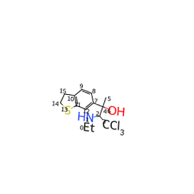 CCNC(C(Cl)(Cl)Cl)C(C)(O)c1ccc2c(c1)SCC2